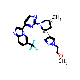 COCCn1cc([C@H]2C[C@@H](C)CN(c3nccc(-c4cnc5ccc(C(F)(F)F)cn45)n3)C2)cn1